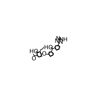 CCCc1c(OCc2cccc(C(O)c3cccc(-c4nn[nH]n4)c3)c2)ccc(C(C)=O)c1O